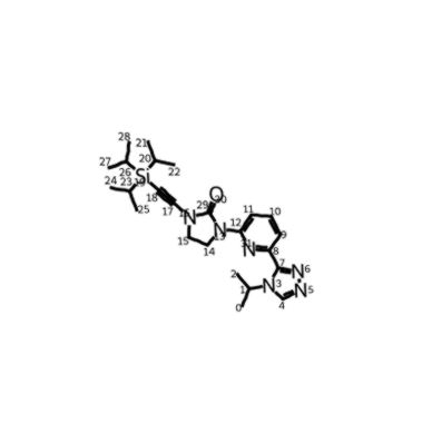 CC(C)n1cnnc1-c1cccc(N2CCN(C#C[Si](C(C)C)(C(C)C)C(C)C)C2=O)n1